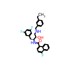 CCc1cccc(CNC[C@H](O)[C@H](Cc2cc(F)cc(F)c2)NC(=O)c2ccc(F)c3ccccc23)c1